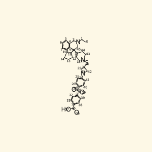 CCN1Cc2ccccc2C(C2CCCC2)(C2CCN(SC3CN(c4ccc(S(=O)(=O)c5ccc(C(=O)O)cc5)cc4)C3)CC2)C1